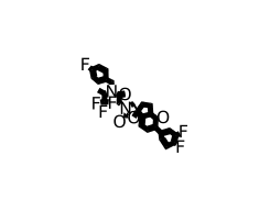 CC(N(Cc1ccc(F)cc1)C(=O)CN1C[C@]2(CCC3C(=O)C(c4ccc(F)c(F)c4)=CC=C32)OC1=O)C(F)(F)F